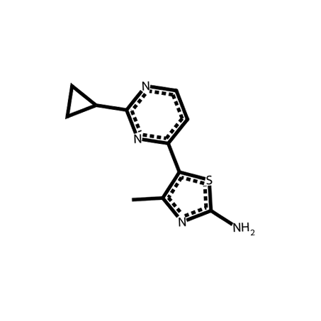 Cc1nc(N)sc1-c1ccnc(C2CC2)n1